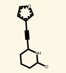 ClC1CCCC(C#Cc2ccoc2)N1